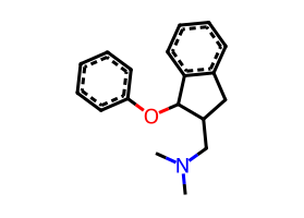 CN(C)CC1Cc2ccccc2C1Oc1ccccc1